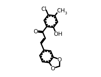 Cc1cc(O)c(C(=O)C=Cc2ccc3c(c2)OCO3)cc1Cl